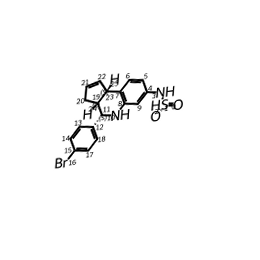 O=[SH](=O)Nc1ccc2c(c1)N[C@H](c1ccc(Br)cc1)[C@@H]1CC=C[C@H]21